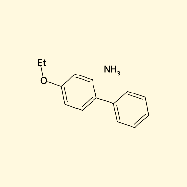 CCOc1ccc(-c2ccccc2)cc1.N